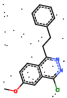 COc1ccc2c(CCc3ccccc3)nnc(Cl)c2c1